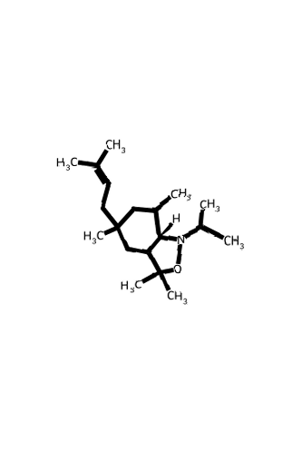 CC(C)=CCC1(C)CC(C)[C@H]2C(C1)C(C)(C)ON2C(C)C